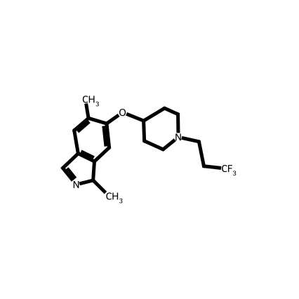 Cc1cc2c(cc1OC1CCN(CCC(F)(F)F)CC1)C(C)N=C2